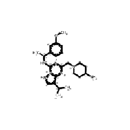 COc1cccc([C@H](C)Nc2nc(CN3CCC(N)CC3)nc3c(C(C)C)cnn23)c1